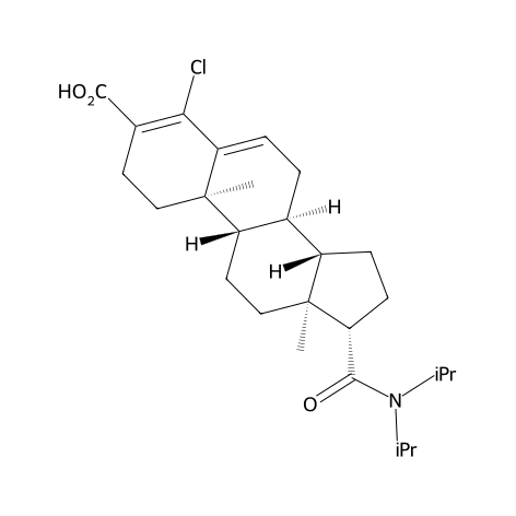 CC(C)N(C(=O)[C@H]1CC[C@H]2[C@@H]3CC=C4C(Cl)=C(C(=O)O)CC[C@]4(C)[C@H]3CC[C@]12C)C(C)C